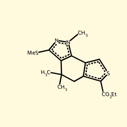 CCOC(=O)c1scc2c1CC(C)(C)c1c(SC)nn(C)c1-2